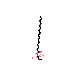 CCCCCCCCCCCCCCCC(=O)NC(O)(O)CC